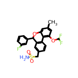 Cc1cc(OC(F)F)c2c(c1)OC(c1cccc(F)c1)c1cc(CS(N)(=O)=O)ccc1-2